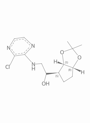 CC1(C)O[C@@H]2[C@@H](CC[C@H]2C(O)CNc2nccnc2Cl)O1